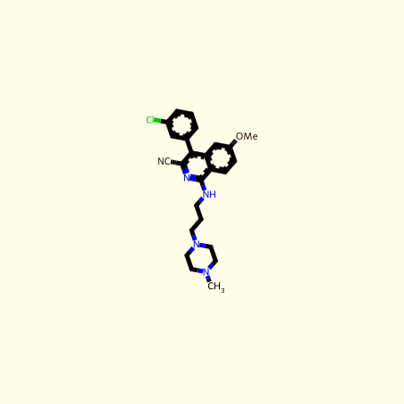 COc1ccc2c(NCCCN3CCN(C)CC3)nc(C#N)c(-c3cccc(Cl)c3)c2c1